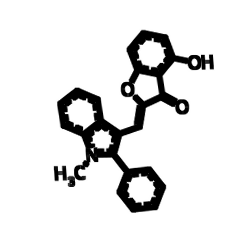 Cn1c(-c2ccccc2)c(C=C2Oc3cccc(O)c3C2=O)c2ccccc21